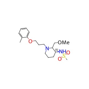 COCC1[C@@H](NS(C)(=O)=O)CCCN1CCCOc1ccccc1C